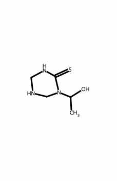 CC(O)N1CNCNC1=S